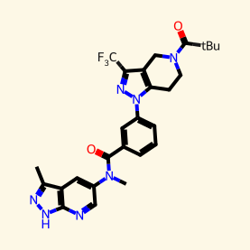 Cc1n[nH]c2ncc(N(C)C(=O)c3cccc(-n4nc(C(F)(F)F)c5c4CCN(C(=O)C(C)(C)C)C5)c3)cc12